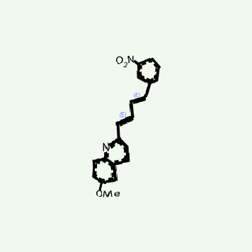 COc1ccc2nc(/C=C/C=C/c3cccc([N+](=O)[O-])c3)ccc2c1